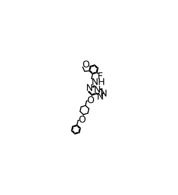 Fc1ccc2c(c1CNc1ncc(OCC3CCC(OCc4ccccc4)CC3)c3nncn13)CCO2